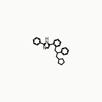 [c]1ccc(CC(CC2CCCC2)c2ccccc2)c(-c2cnc(-c3ccccc3)[nH]2)c1